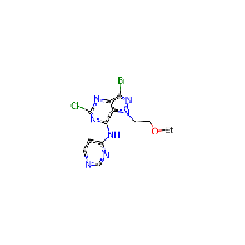 CCOCCn1nc(Br)c2nc(Cl)nc(Nc3ccncn3)c21